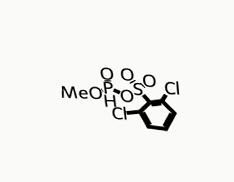 CO[PH](=O)OS(=O)(=O)c1c(Cl)cccc1Cl